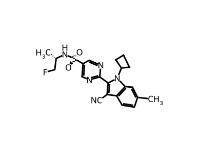 Cc1ccc2c(C#N)c(-c3ncc(S(=O)(=O)N[C@@H](C)CF)cn3)n(C3CCC3)c2c1